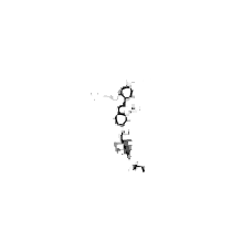 C=CC(=O)OCC(F)(F)C(F)(F)C(F)(F)COc1ccc2cc(-c3ccc(CCCCC)cc3OC)n(CC)c2c1